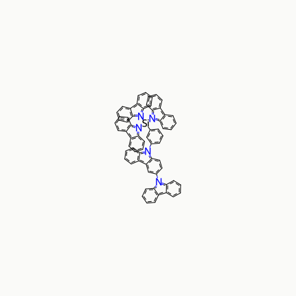 c1cc(-n2c3ccccc3c3cc(-n4c5ccccc5c5ccccc54)ccc32)cc([Si](n2c3ccccc3c3ccccc32)(n2c3ccccc3c3ccccc32)n2c3ccccc3c3ccccc32)c1